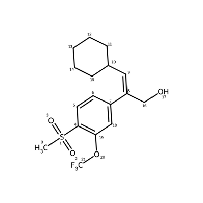 CS(=O)(=O)c1ccc(/C(=C\C2CCCCC2)CO)cc1OC(F)(F)F